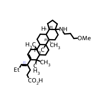 CC/C=C(\CCC(=O)O)C1=CCC2(C)C(CCC3(C)C2CCC2[C@H]4CCCC4(NCCCOC)CC[C@]23C)C1(C)C